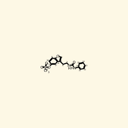 O=C(NCCc1coc2ccc(OS(=O)(=O)C(F)(F)F)cc12)Nc1ccccc1